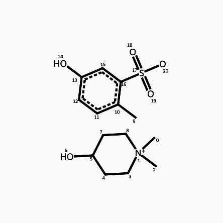 C[N+]1(C)CCC(O)CC1.Cc1ccc(O)cc1S(=O)(=O)[O-]